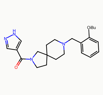 CC(C)COc1ccccc1CN1CCC2(CC1)CCN(C(=O)c1cn[nH]c1)C2